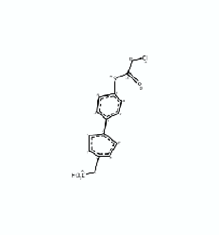 O=C(O)Cc1ccc(-c2ccc(SC(=O)CCl)cc2)cc1